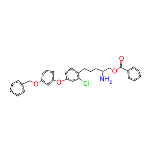 NC(CCCc1ccc(Oc2cccc(OCc3ccccc3)c2)cc1Cl)COC(=O)c1ccccc1